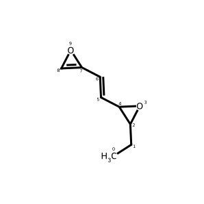 CCC1OC1C=CC1=CO1